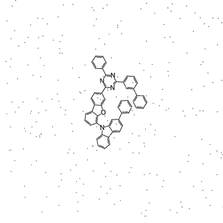 c1ccc(-c2cccc(-c3nc(-c4ccccc4)nc(-c4ccc5c(c4)oc4c(-n6c7ccccc7c7ccc(-c8ccccc8)cc76)cccc45)n3)c2)cc1